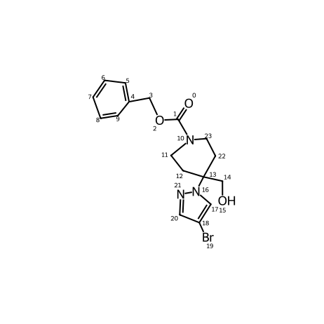 O=C(OCc1ccccc1)N1CCC(CO)(n2cc(Br)cn2)CC1